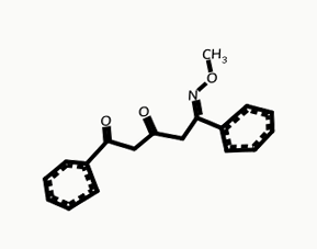 CON=C(CC(=O)CC(=O)c1ccccc1)c1ccccc1